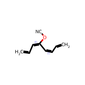 C=C/C=C\C(=C/C=C)OC#N